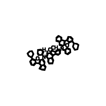 CC1(C)c2cc(N(c3ccccc3)c3cc4ccccc4c4c3oc3c(C5CCCCC5)cccc34)ccc2-c2c1cc(N(c1ccccc1)c1cc3ccccc3c3c1oc1c(C4CCCCC4)cccc13)c1ccccc21